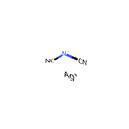 N#C[N-]C#N.[Ag+]